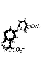 CO[C@H]1CCN(c2ccc3snc(C(=O)O)c3c2)C1